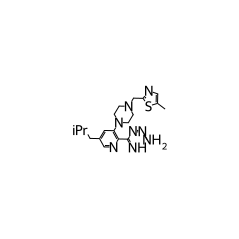 Cc1cnc(CN2CCN(c3cc(CC(C)C)cnc3C(=N)/N=N\N)CC2)s1